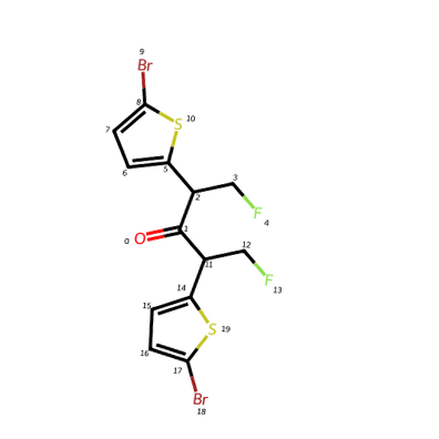 O=C(C(CF)c1ccc(Br)s1)C(CF)c1ccc(Br)s1